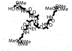 CCC(COCC(C)NC(=O)CC(=O)NCCC[Si](CO)(OC)OC)(COCC(C)NC(=O)CC(=O)NCCC[Si](OC)(OC)OC)COCC(C)NC(=O)CC(=O)NCCC[Si](OC)(OC)OC